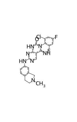 CN1CCc2ccc(Nc3ncc4c(=N)n(-c5c(F)cc(F)cc5Cl)c(=O)[nH]c4n3)cc2C1